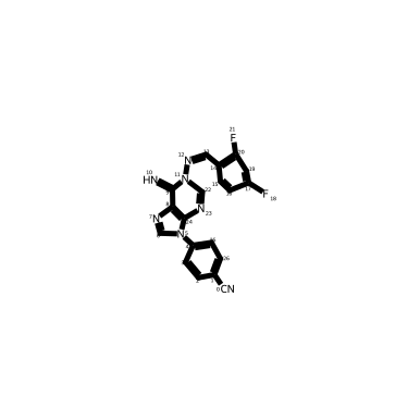 N#Cc1ccc(-n2cnc3c(=N)n(/N=C\c4ccc(F)cc4F)cnc32)cc1